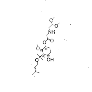 COC(CNCC(=O)O[C@@H]1CC[C@@H](O)[C@@H](C(C)(C)OCC=C(C)C)[C@@H]1OC)OC